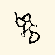 Cc1ccc2c3c(cccc13)C(=O)N(c1ccccc1)C2=O